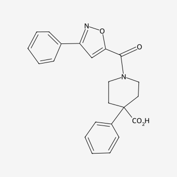 O=C(c1cc(-c2ccccc2)no1)N1CCC(C(=O)O)(c2ccccc2)CC1